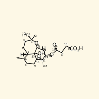 CC(C)[C@]1(C)CC[C@H]2[C@H](C)CC[C@H]3[C@@H](C)[C@H](OC(=O)CCC(=O)O)C[C@H](O1)[C@]32O